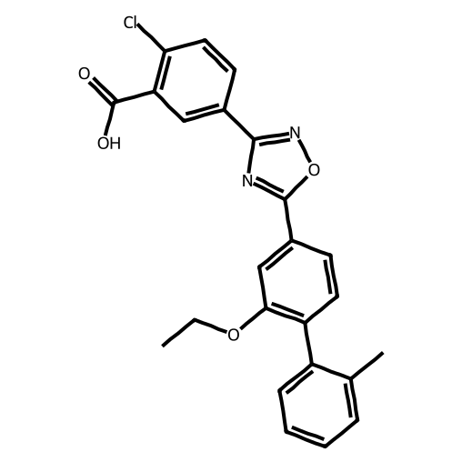 CCOc1cc(-c2nc(-c3ccc(Cl)c(C(=O)O)c3)no2)ccc1-c1ccccc1C